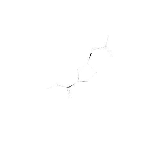 COC(=O)[C@@H]1CC[C@H](OC(C)=O)O1